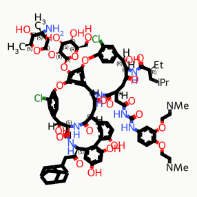 CC[C@H](CC(C)C)C(=O)N[C@H]1C(=O)C[C@@H](CC(=O)NC(=O)Nc2ccc(OCCNC)c(OCCNC)c2)C(=O)N[C@H]2C(=O)C[C@H]3C(=O)N[C@H](C(=O)N[C@H](C(=O)CC4C5CC6CC(C5)CC4C6)c4cc(O)cc(O)c4-c4cc3ccc4O)[C@H](O)c3ccc(c(Cl)c3)Oc3cc2cc(c3O[C@@H]2O[C@H](CO)[C@@H](O)[C@H](O)[C@H]2O[C@H]2C[C@](C)(N)[C@H](O)[C@H](C)O2)Oc2ccc(cc2Cl)[C@H]1O